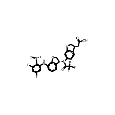 O=C(O)C[C@@H]1COc2cc(N(C(=O)C(F)(F)F)[C@@H]3COc4c(Nc5cc(F)cc(F)c5[N+](=O)[O-])cccc43)ccc21